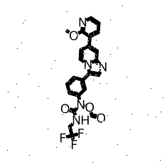 COc1ncccc1-c1ccn2c(-c3cccc(N(OC=O)C(=O)NCC(F)(F)F)c3)cnc2c1